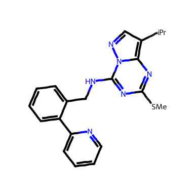 CSc1nc(NCc2ccccc2-c2ccccn2)n2ncc(C(C)C)c2n1